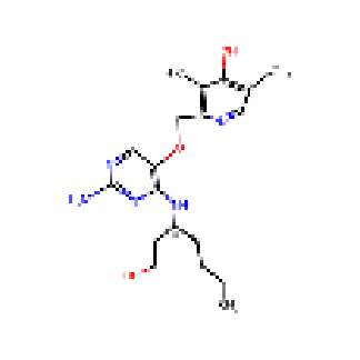 CCCC[C@@H](CCO)Nc1nc(N)ncc1OCc1ncc(C)c(O)c1C